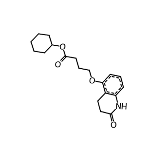 O=C1CCc2c(cccc2OCCCC(=O)OC2CCCCC2)N1